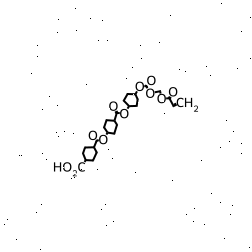 C=CC(=O)OCOC(=O)OC1CCC(OC(=O)C2CCC(OC(=O)C3CCC(C(=O)O)CC3)CC2)CC1